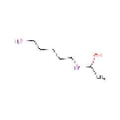 CC(O)PCCCCCP